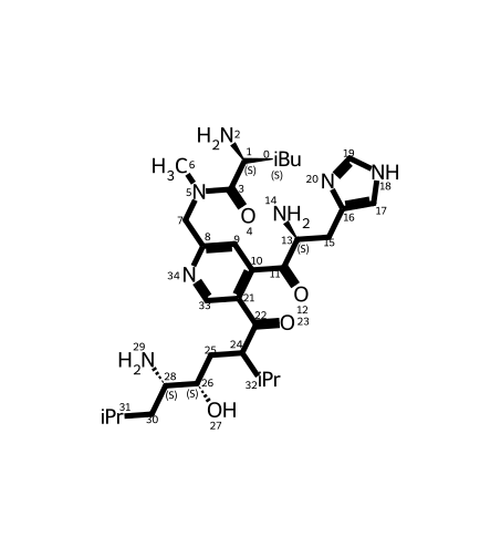 CC[C@H](C)[C@H](N)C(=O)N(C)Cc1cc(C(=O)[C@@H](N)Cc2c[nH]cn2)c(C(=O)C(C[C@H](O)[C@@H](N)CC(C)C)C(C)C)cn1